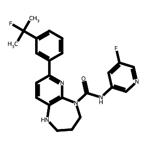 CC(C)(F)c1cccc(-c2ccc3c(n2)N(C(=O)Nc2cncc(F)c2)CCCN3)c1